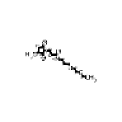 CCOCCOCCCNC(=O)CCN1C(=O)CC(C)C1=O